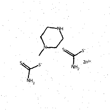 CN1CCNCC1.NC(=S)[S-].NC(=S)[S-].[Zn+2]